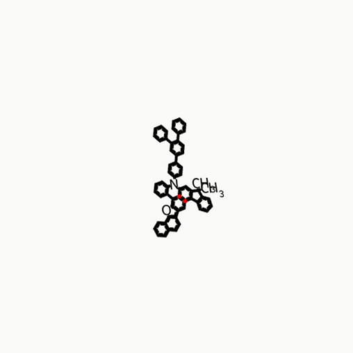 CC1(C)c2ccccc2-c2ccc(N(c3ccc(-c4ccc(-c5ccccc5)c(-c5ccccc5)c4)cc3)c3ccccc3-c3cccc4c3oc3c5ccccc5ccc43)cc21